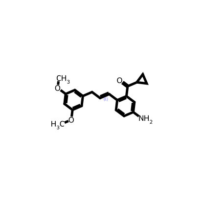 COc1cc(C/C=C/c2ccc(N)cc2C(=O)C2CC2)cc(OC)c1